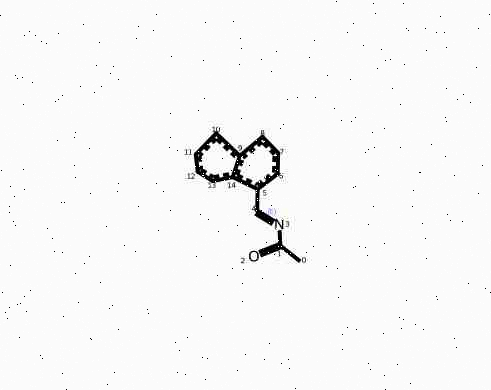 CC(=O)/N=C/c1cccc2ccccc12